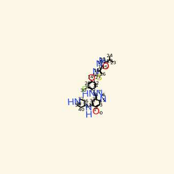 COc1cc2ncnc(Nc3ccc(Oc4nc(-c5nnc(C(C)C)o5)cs4)cc3F)c2cc1NC1CCNCC1